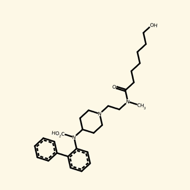 CN(CCN1CCC(N(C(=O)O)c2ccccc2-c2ccccc2)CC1)C(=O)CCCCCCO